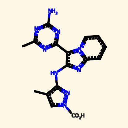 Cc1nc(N)nc(-c2c(Nc3nn(C(=O)O)cc3C)nc3ccccn23)n1